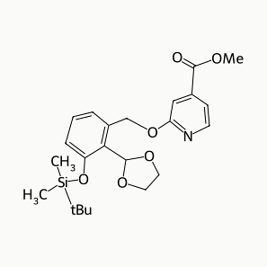 COC(=O)c1ccnc(OCc2cccc(O[Si](C)(C)C(C)(C)C)c2C2OCCO2)c1